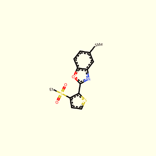 CCS(=O)(=O)c1ccsc1-c1nc2cc(SC)ccc2o1